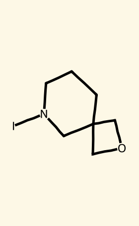 IN1CCCC2(COC2)C1